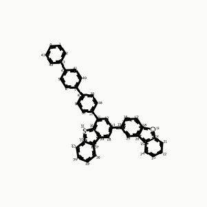 c1ccc(-c2ccc(-c3ccc(-c4cc(-c5ccc6oc7ccccc7c6c5)cc5c4sc4ccccc45)cc3)cc2)cc1